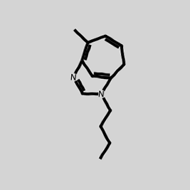 CCCCN1C=NC2=C(C)C=CCC1=C2